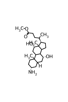 COC(=O)CCC(C)[C@H]1CCC2C3C(C[C@H](O)[C@@]21C)[C@@]1(C)CC[C@@H](N)C[C@H]1C[C@H]3O